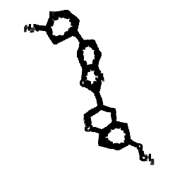 COc1ccc2c(c1)CC(c1nc3ccc(-c4ccnc(N)c4)cc3o1)CO2